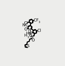 CN(Cc1cc(Cl)cc(-c2cc(-c3cc(C(F)(F)F)ccc3Cl)c(C#N)c(=O)[nH]2)c1O)C(=O)CCCc1cccs1